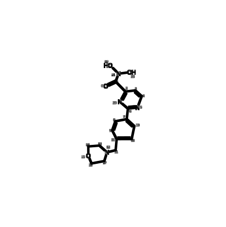 O=C(c1ccnc(-c2ccc(CN3CCOCC3)cc2)n1)N(O)O